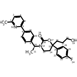 Cc1cccc(-c2ccc([C@H](C)N3CCC(CCCO)(c4ccc(F)cc4)OC3=O)cc2)n1